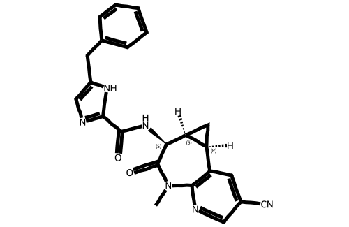 CN1C(=O)[C@@H](NC(=O)c2ncc(Cc3ccccc3)[nH]2)[C@H]2C[C@H]2c2cc(C#N)cnc21